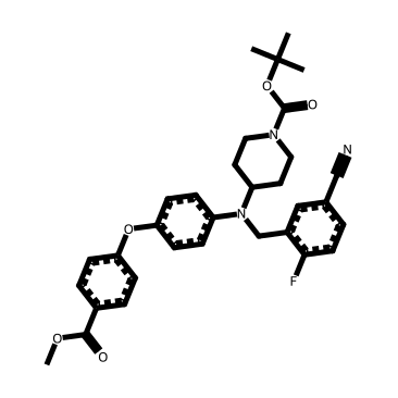 COC(=O)c1ccc(Oc2ccc(N(Cc3cc(C#N)ccc3F)C3CCN(C(=O)OC(C)(C)C)CC3)cc2)cc1